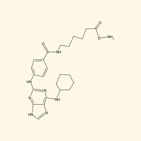 NOC(=O)CCCCCNC(=O)c1ccc(Nc2nc(NC3CCCCC3)c3nc[nH]c3n2)cc1